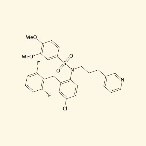 COc1ccc(S(=O)(=O)N(CCCc2cccnc2)c2ccc(Cl)cc2Cc2c(F)cccc2F)cc1OC